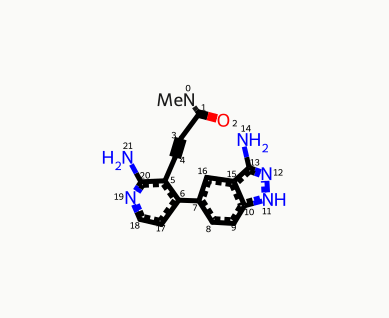 CNC(=O)C#Cc1c(-c2ccc3[nH]nc(N)c3c2)ccnc1N